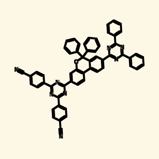 N#Cc1ccc(-c2nc(-c3ccc(C#N)cc3)nc(-c3ccc4c(c3)OC(c3ccccc3)(c3ccccc3)c3cc(-c5nc(-c6ccccc6)nc(-c6ccccc6)n5)ccc3-4)n2)cc1